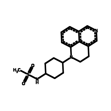 CS(=O)(=O)NC1CCC(N2CCc3cncc4cccc2c34)CC1